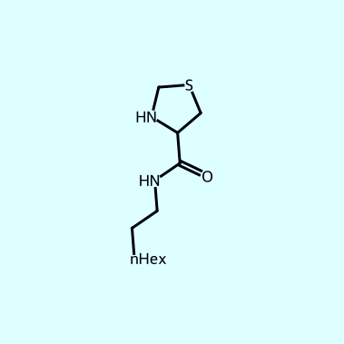 CCCCCCCCNC(=O)C1CSCN1